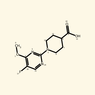 COc1nc(N2CCC(C(=O)O)CC2)ncc1F